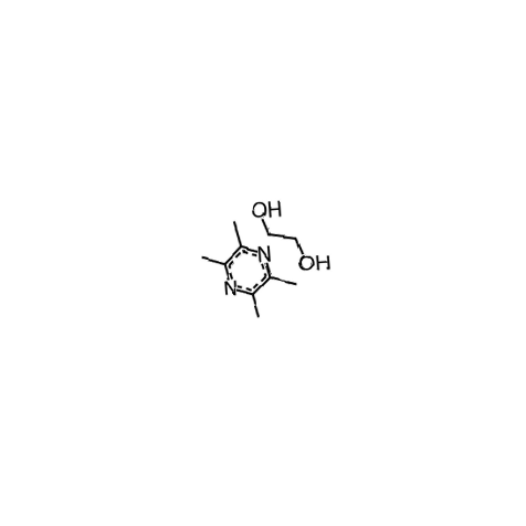 Cc1nc(C)c(C)nc1C.OCCO